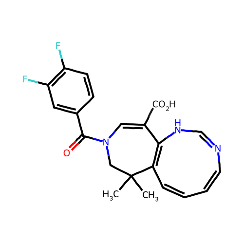 CC1(C)CN(C(=O)c2ccc(F)c(F)c2)C=C(C(=O)O)c2[nH]cnccccc21